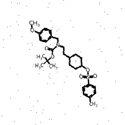 COc1ccc(CN(CCC2CCC(OS(=O)(=O)c3ccc(C)cc3)CC2)C(=O)OC(C)(C)C)cc1